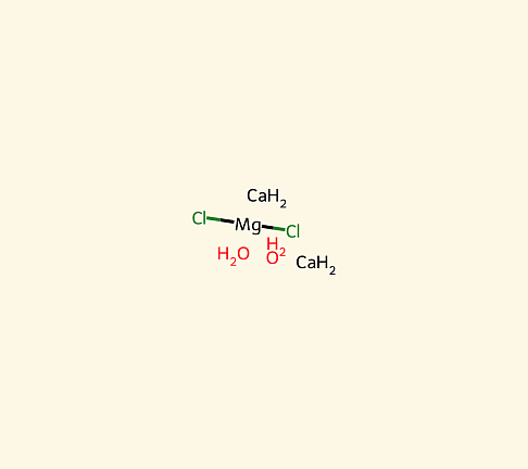 O.O.[CaH2].[CaH2].[Cl][Mg][Cl]